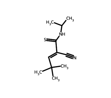 CC(C)NC(=S)/C(C#N)=C/C(C)(C)C